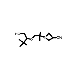 CC(C)(C)C(CO)OCC(C)(C)N1CC(O)C1